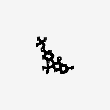 O=c1c(-c2cnc(OCC(F)(F)F)nc2)c(C(F)(F)F)nc2ccc(F)cn12